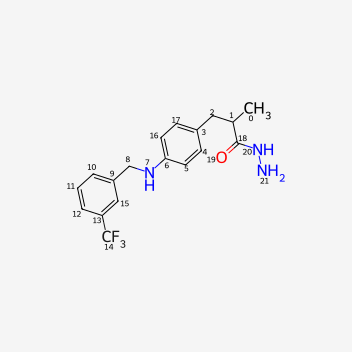 CC(Cc1ccc(NCc2cccc(C(F)(F)F)c2)cc1)C(=O)NN